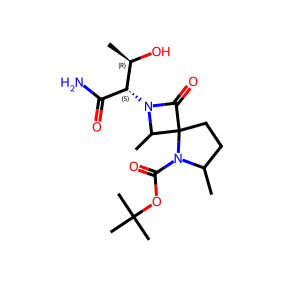 CC1CCC2(C(=O)N([C@H](C(N)=O)[C@@H](C)O)C2C)N1C(=O)OC(C)(C)C